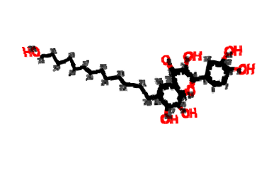 O=c1c(O)c(-c2ccc(O)c(O)c2)oc2c(O)c(O)c(CCCCCCCCCCCCCO)cc12